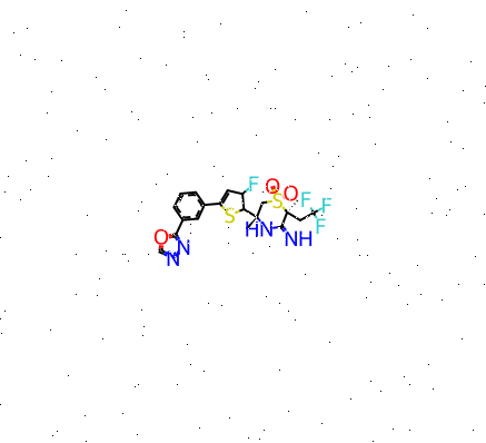 C[C@]1(CC(F)(F)F)C(=N)N[C@](C)(C2SC(c3cccc(-c4nnco4)c3)=CC2F)CS1(=O)=O